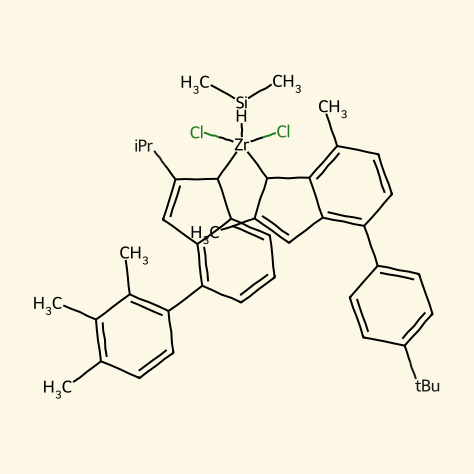 CC1=Cc2c(-c3ccc(C(C)(C)C)cc3)ccc(C)c2[CH]1[Zr]([Cl])([Cl])([CH]1C(C(C)C)=Cc2c(-c3ccc(C)c(C)c3C)cccc21)[SiH](C)C